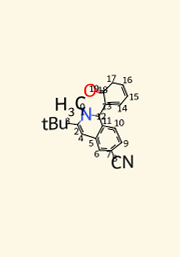 CN1C(C(C)(C)C)=Cc2cc(C#N)ccc2C1C1=CC=CCC1=O